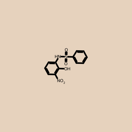 O=[N+]([O-])c1cccc(NS(=O)(=O)c2ccccc2)c1O